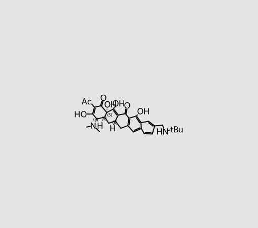 CC(=O)C1=C(O)[C@@H](N(C)C)[C@@H]2C[C@@H]3Cc4cc5ccc(CNC(C)(C)C)cc5c(O)c4C(=O)C3=C(O)[C@]2(O)C1=O